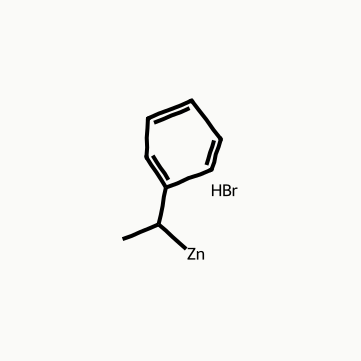 Br.C[CH]([Zn])c1ccccc1